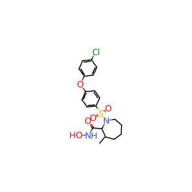 CC1CCCCN(S(=O)(=O)c2ccc(Oc3ccc(Cl)cc3)cc2)C1C(=O)NO